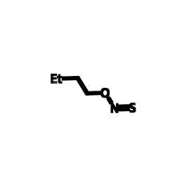 CCCCON=S